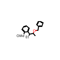 CCC(c1ccccc1OC)C(C)OCc1ccccc1